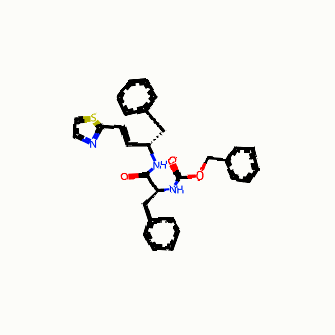 O=C(N[C@@H](Cc1ccccc1)C(=O)N[C@H](/C=C/c1nccs1)Cc1ccccc1)OCc1ccccc1